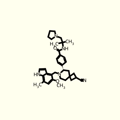 COc1cc(C)c2[nH]ccc2c1CN1CCC2(CC(C#N)C2)C[C@H]1c1ccc(C(=O)NC(C)(C)CN2CCCC2)cc1